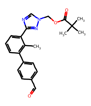 Cc1c(-c2ccc(C=O)cc2)cccc1-c1ncn(COC(=O)C(C)(C)C)n1